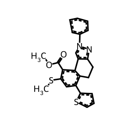 COC(=O)c1c(SC)cc(-c2cccs2)c2c1-c1cn(-c3ccccc3)nc1CC2